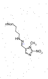 CCCCCCCCCCCCN/N=C/c1cnc([N+](=O)[O-])n1C